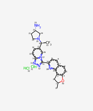 CC1Cc2c(ccc3ccc(-c4nnc5ccc([C@@H](N6CC[C@H](N)C6)C(F)(F)F)cn45)nc23)O1.Cl.Cl